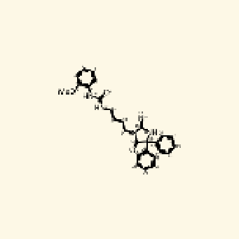 COc1ccccc1NC(=O)NCCCCN1C(=N)NC(c2ccccc2)(c2ccccc2)C1=O